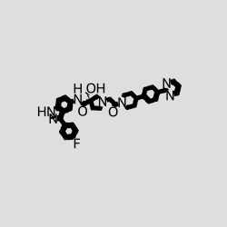 O=C(CN1CC[C@@](CO)(C(=O)Nc2ccc3[nH]nc(-c4ccc(F)cc4)c3c2)C1)N1CCC(C2=CC=C(c3ncccn3)CC2)CC1